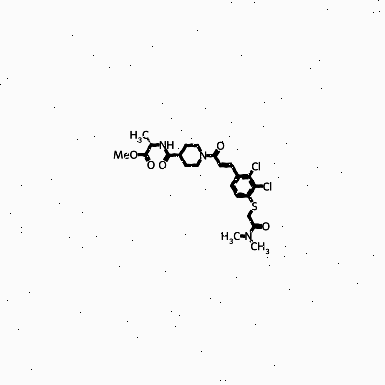 COC(=O)[C@H](C)NC(=O)C1CCN(C(=O)/C=C/c2ccc(SCC(=O)N(C)C)c(Cl)c2Cl)CC1